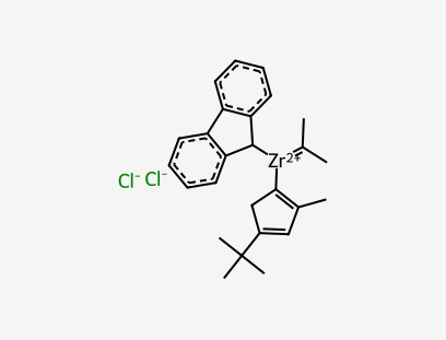 CC1=[C]([Zr+2](=[C](C)C)[CH]2c3ccccc3-c3ccccc32)CC(C(C)(C)C)=C1.[Cl-].[Cl-]